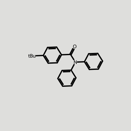 CC(C)(C)c1ccc(C(=O)N(c2ccccc2)c2ccccc2)cc1